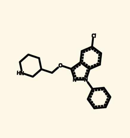 Clc1ccc2c(c1)c(OCC1CCCNC1)nn2-c1ccccc1